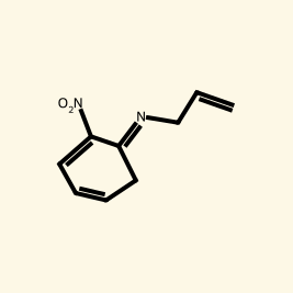 C=CCN=C1CC=CC=C1[N+](=O)[O-]